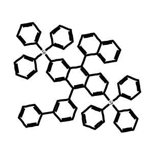 c1ccc(-c2cccc(-c3c4cc([Si](c5ccccc5)(c5ccccc5)c5ccccc5)ccc4c(-c4cccc5ccccc45)c4cc([Si](c5ccccc5)(c5ccccc5)c5ccccc5)ccc34)c2)cc1